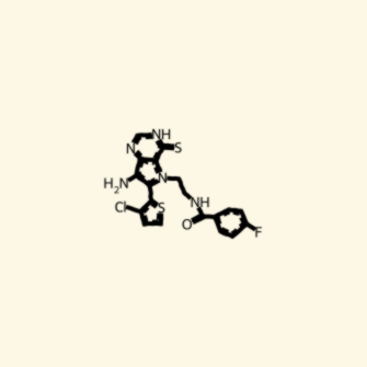 Nc1c(-c2sccc2Cl)n(CCNC(=O)c2ccc(F)cc2)c2c(=S)[nH]cnc12